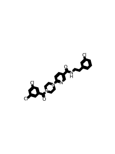 O=C(NCCc1cccc(Cl)c1)c1ccc(N2CCN(C(=O)c3cc(Cl)cc(Cl)c3)CC2)nc1